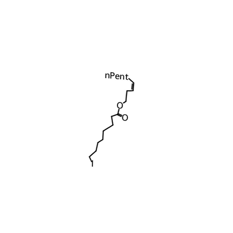 CCCCC/C=C\CCOC(=O)CCCCCCCI